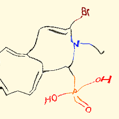 CN1C(Br)=Cc2ccccc2C1P(=O)(O)O